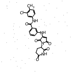 Cc1ccc(NC(=O)c2cccc(NC3=CC(=O)N(C4CCC(=O)NC4=O)C3=O)c2)cc1Cl